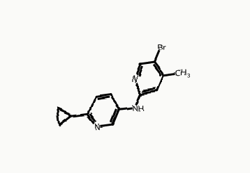 Cc1cc(Nc2ccc(C3CC3)nc2)ncc1Br